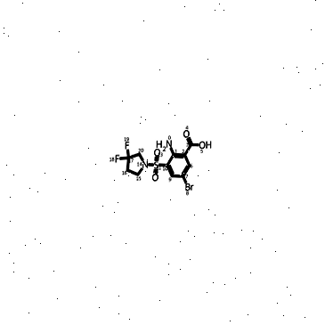 Nc1c(C(=O)O)cc(Br)cc1S(=O)(=O)N1CCC(F)(F)C1